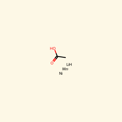 CC(=O)O.[LiH].[Mn].[Ni]